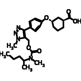 CCCC(C)N(C)C(=O)OCc1c(-c2ccc(O[C@H]3CCC[C@H](C(=O)O)C3)cc2)nnn1C